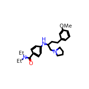 CCN(CC)C(=O)c1ccc(NC(CCc2cccc(OC)c2)CN2CCCC2)cc1